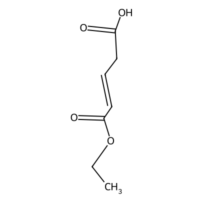 CCOC(=O)C=CCC(=O)O